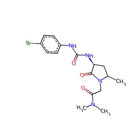 CC1C[C@H](NC(=O)Nc2ccc(Br)cc2)C(=O)N1CC(=O)N(C)C